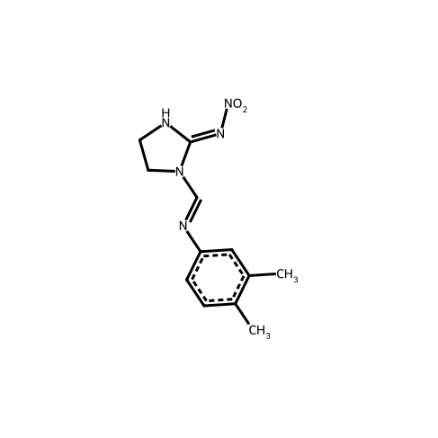 Cc1ccc(N=CN2CCNC2=N[N+](=O)[O-])cc1C